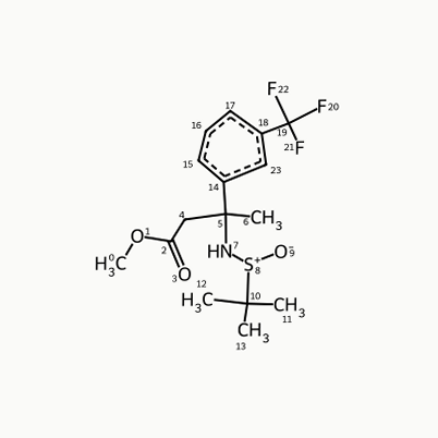 COC(=O)CC(C)(N[S+]([O-])C(C)(C)C)c1cccc(C(F)(F)F)c1